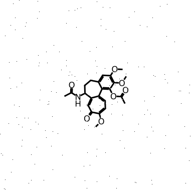 COc1cc2c(c(OC(C)=O)c1OC)-c1ccc(OC)c(=O)cc1C(NC(C)=O)CC2